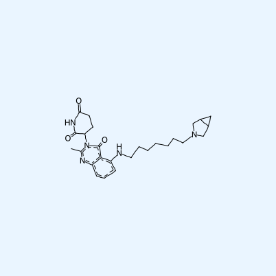 Cc1nc2cccc(NCCCCCCCN3CC4CC4C3)c2c(=O)n1C1CCC(=O)NC1=O